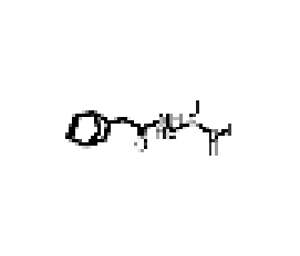 O=C(CC1CC2C=CC1C2)NBBBI